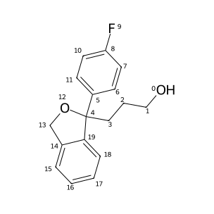 OCCCC1(c2ccc(F)cc2)OCc2ccccc21